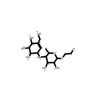 CC1OC(OCCCl)C(O)C(O)C1NC1C=C(CO)C(O)C(O)C1O